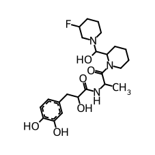 CC(NC(=O)C(O)Cc1ccc(O)c(O)c1)C(=O)N1CCCCC1C(O)N1CCCC(F)C1